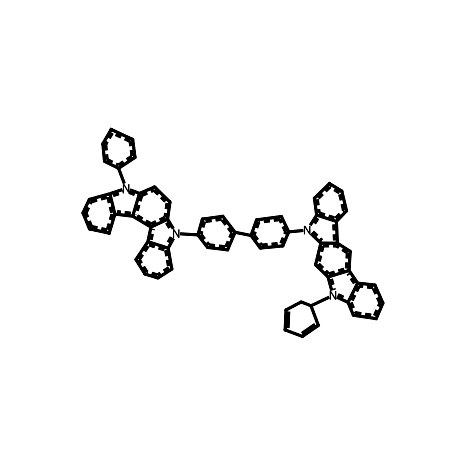 C1=CCC(n2c3ccccc3c3cc4c5ccccc5n(-c5ccc(-c6ccc(-n7c8ccccc8c8c9c%10ccccc%10n(-c%10ccccc%10)c9ccc87)cc6)cc5)c4cc32)C=C1